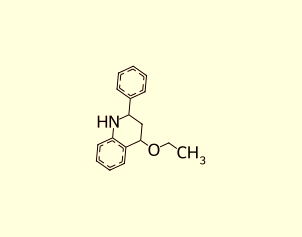 CCOC1CC(c2ccccc2)Nc2ccccc21